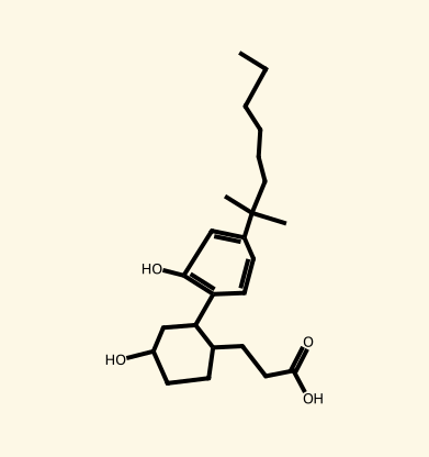 CCCCCCC(C)(C)c1ccc(C2CC(O)CCC2CCC(=O)O)c(O)c1